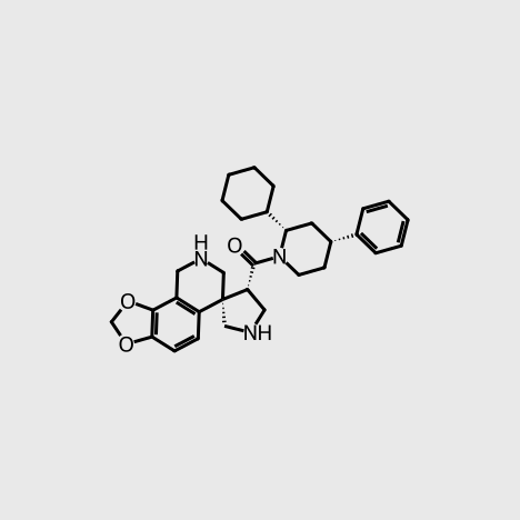 O=C([C@@H]1CNC[C@]12CNCc1c2ccc2c1OCO2)N1CC[C@@H](c2ccccc2)C[C@H]1C1CCCCC1